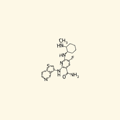 CNC1CCCC[C@H]1Nc1nc(Nc2csc3ccncc23)c(C(N)=O)cc1F